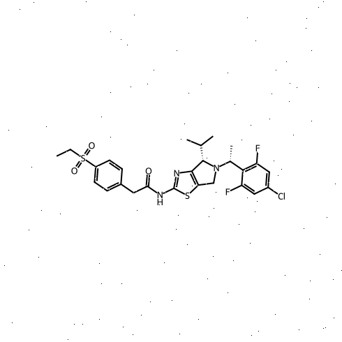 CCS(=O)(=O)c1ccc(CC(=O)Nc2nc3c(s2)CN([C@H](C)c2c(F)cc(Cl)cc2F)[C@H]3C(C)C)cc1